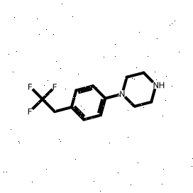 FC(F)(F)Cc1ccc(N2CCNCC2)cc1